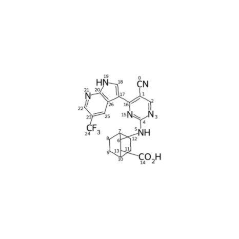 N#Cc1cnc(NC2C3CCC(CC3)C2C(=O)O)nc1-c1c[nH]c2ncc(C(F)(F)F)cc12